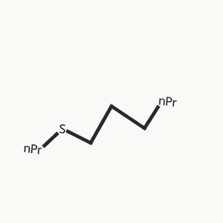 [CH2]CCSCCCCCC